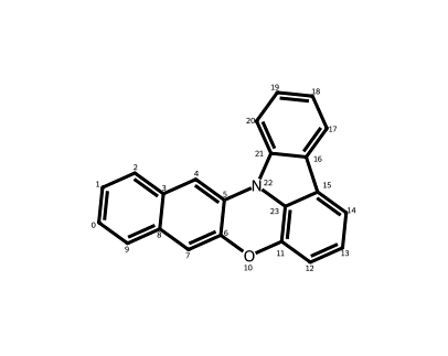 c1ccc2cc3c(cc2c1)Oc1cccc2c4ccccc4n-3c12